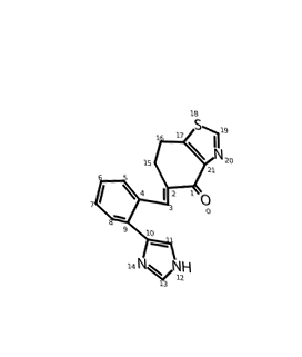 O=C1/C(=C/c2ccccc2-c2c[nH]cn2)CCc2scnc21